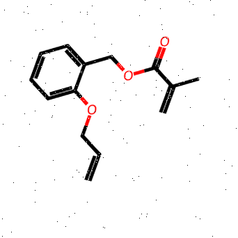 C=CCOc1ccccc1COC(=O)C(=C)C